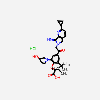 CCC(Oc1c(N2CCC(O)C2)cc(C(=O)CN2Cc3ccc(C4CC4)nc3C2=N)cc1C(C)(C)C)C(=O)O.Cl